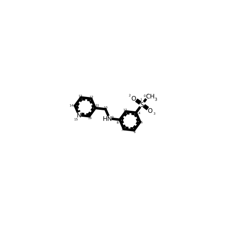 CS(=O)(=O)c1cccc(NCc2cccnc2)c1